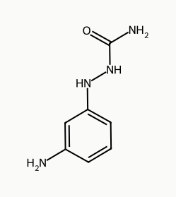 NC(=O)NNc1cccc(N)c1